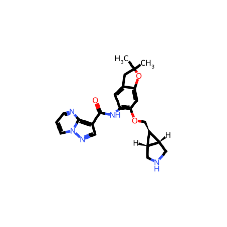 CC1(C)Cc2cc(NC(=O)c3cnn4cccnc34)c(OC[C@H]3[C@@H]4CNC[C@@H]43)cc2O1